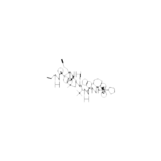 C#CCCC(NC(=O)[C@H](I)N(CCC)C(=O)[C@@H](NC(=O)NC1(CS(=O)(=O)C2CCCC2)CCCCC1)C(C)(C)C)C(=O)C(=O)NCC=C